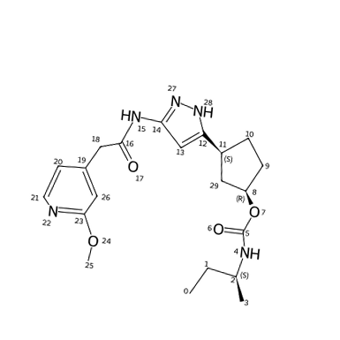 CC[C@H](C)NC(=O)O[C@@H]1CC[C@H](c2cc(NC(=O)Cc3ccnc(OC)c3)n[nH]2)C1